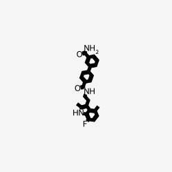 Cc1[nH]c2c(F)ccc(C)c2c1CCNC(=O)c1ccc(-c2cccc(C(N)=O)c2)cc1